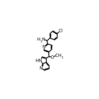 COC(c1ccc(C(N)c2ccc(Cl)cc2)nc1)c1c[nH]c2ncccc12